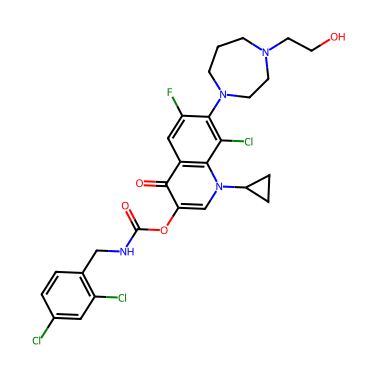 O=C(NCc1ccc(Cl)cc1Cl)Oc1cn(C2CC2)c2c(Cl)c(N3CCCN(CCO)CC3)c(F)cc2c1=O